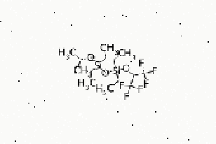 CC[Si](CC)(OC(C)C)O[Si](CC)(CC)OC(C(F)(F)F)C(F)(F)F